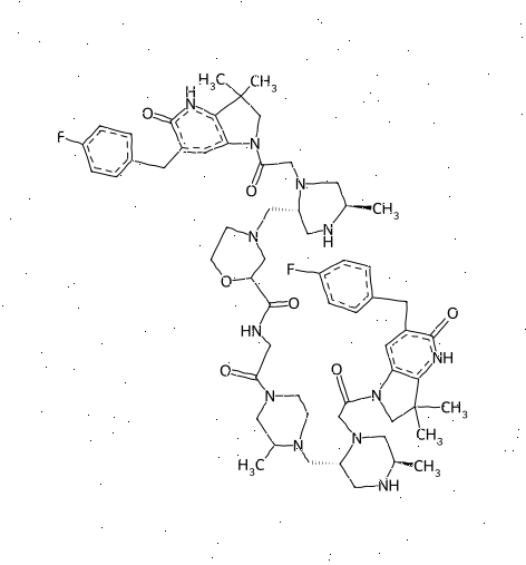 CC1CN(C(=O)CNC(=O)C2CN(C[C@H]3CN[C@H](C)CN3CC(=O)N3CC(C)(C)c4[nH]c(=O)c(Cc5ccc(F)cc5)cc43)CCO2)CCN1C[C@H]1CN[C@H](C)CN1CC(=O)N1CC(C)(C)c2[nH]c(=O)c(Cc3ccc(F)cc3)cc21